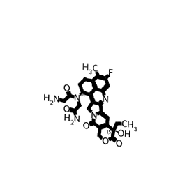 CC[C@@]1(O)C(=O)OCc2c1cc1n(c2=O)Cc2c-1nc1cc(F)c(C)c3c1c2[C@@H](N(CC(N)=O)C(=O)CN)CC3